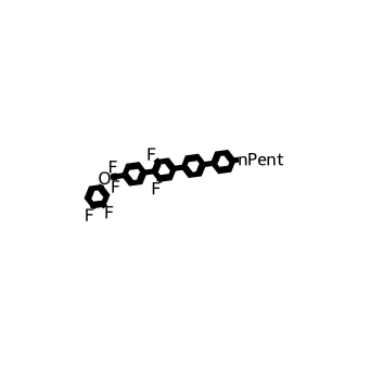 CCCCCc1ccc(-c2ccc(-c3cc(F)c(-c4ccc(C(F)(F)Oc5ccc(F)c(F)c5)cc4)c(F)c3)cc2)cc1